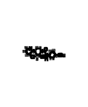 CC(C)(C)c1ccc(NC(=O)N2CCN(c3ncccc3C(F)(F)F)CC2C(C)(C)C)cc1